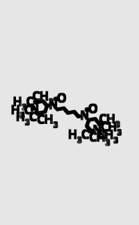 CN1C(C)(C)CC(N(C=O)CCCCCN(C=O)C2CC(C)(C)N(C)C(C)(C)C2)CC1(C)C